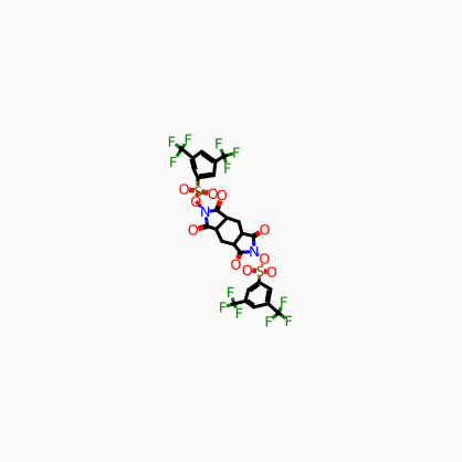 O=C1C2CC3C(=O)N(OS(=O)(=O)c4cc(C(F)(F)F)cc(C(F)(F)F)c4)C(=O)C3CC2C(=O)N1OS(=O)(=O)c1cc(C(F)(F)F)cc(C(F)(F)F)c1